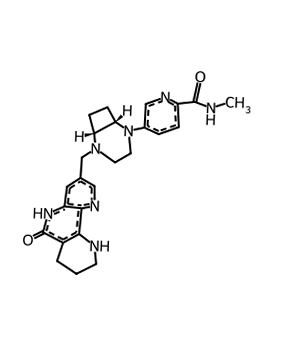 CNC(=O)c1ccc(N2CCN(Cc3cnc4c5c(c(=O)[nH]c4c3)CCCN5)[C@@H]3CC[C@@H]32)cn1